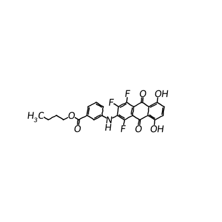 CCCCOC(=O)c1cccc(Nc2c(F)c(F)c3c(c2F)C(=O)c2c(O)ccc(O)c2C3=O)c1